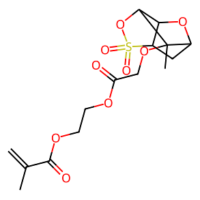 C=C(C)C(=O)OCCOC(=O)COC1(C)C2CC3C(O2)C1OS3(=O)=O